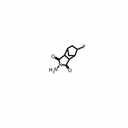 NN1C(=O)C2C3CC(F)C(C3)C2C1=O